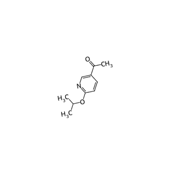 CC(=O)c1ccc(OC(C)C)nc1